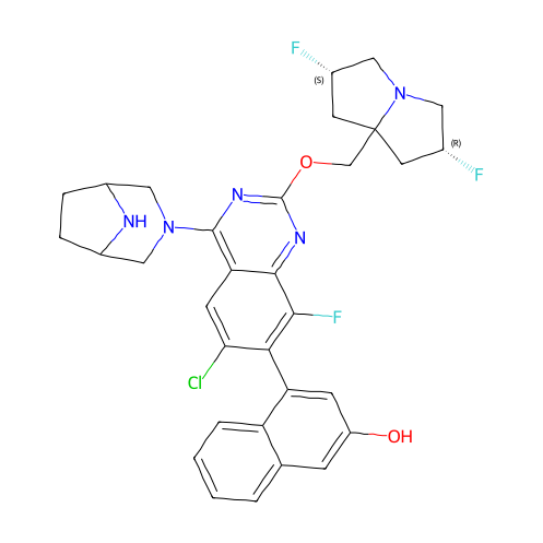 Oc1cc(-c2c(Cl)cc3c(N4CC5CCC(C4)N5)nc(OCC45C[C@H](F)CN4C[C@H](F)C5)nc3c2F)c2ccccc2c1